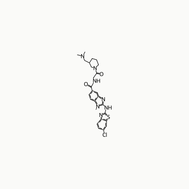 CN(C)CC1CCCN(C(=O)CNC(=O)c2ccc3c(c2)nc(Nc2nc4ccc(Cl)cc4s2)n3C)C1